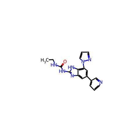 CCNC(=O)Nc1nc2cc(-c3cccnc3)cc(-n3cccn3)c2[nH]1